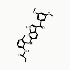 CCC(=O)Nc1cccc(C)c1Nc1ccc2c(C(=O)c3cc(OC)cc(OC)c3)c[nH]c2n1